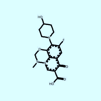 CN1COc2c(N3CCC(O)CC3)c(F)cc3c(=O)c(C(=O)O)cn1c23